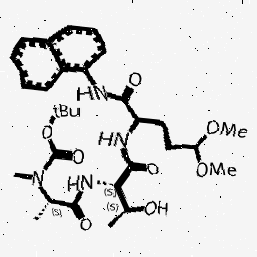 COC(CCC(NC(=O)[C@@H](NC(=O)[C@H](C)N(C)C(=O)OC(C)(C)C)[C@H](C)O)C(=O)Nc1cccc2ccccc12)OC